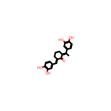 C/C(=C1/CCC/C(=C\c2ccc(O)c(O)c2)C1=O)c1ccc(O)c(O)c1